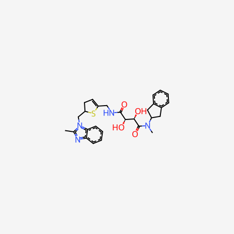 Cc1nc2ccccc2n1CC1CC=C(CNC(=O)[C@H](O)[C@@H](O)C(=O)N(C)C2Cc3ccccc3C2)S1